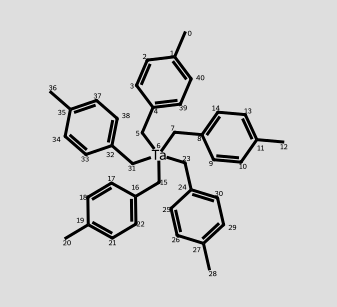 Cc1ccc([CH2][Ta]([CH2]c2ccc(C)cc2)([CH2]c2ccc(C)cc2)([CH2]c2ccc(C)cc2)[CH2]c2ccc(C)cc2)cc1